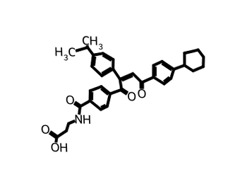 CC(C)c1ccc(/C(=C/C(=O)c2ccc(C3CCCCC3)cc2)C(=O)c2ccc(C(=O)NCCC(=O)O)cc2)cc1